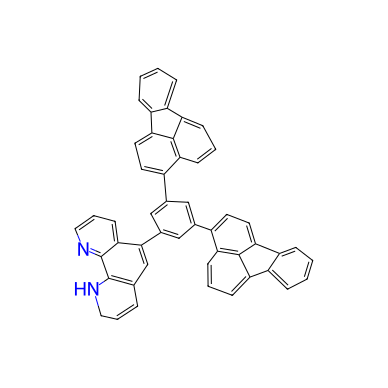 C1=Cc2cc(-c3cc(-c4ccc5c6c(cccc46)-c4ccccc4-5)cc(-c4ccc5c6c(cccc46)-c4ccccc4-5)c3)c3cccnc3c2NC1